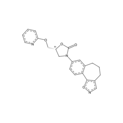 O=C1O[C@@H](COc2ccccn2)CN1c1ccc2c(c1)CCCc1cnoc1-2